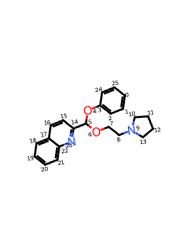 c1ccc(OC(OCCN2CCCC2)c2ccc3ccccc3n2)cc1